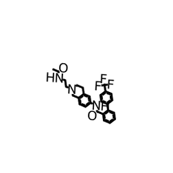 CC(=O)NCCN1CCc2cc(NC(=O)c3ccccc3-c3ccc(C(F)(F)F)cc3)ccc2C1